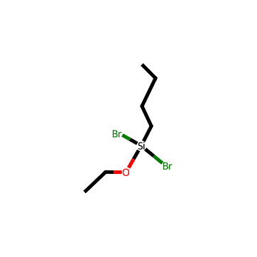 CCCC[Si](Br)(Br)OCC